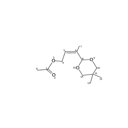 CC(=O)OC/C=C(/C)C1OCC(C)(C)CO1